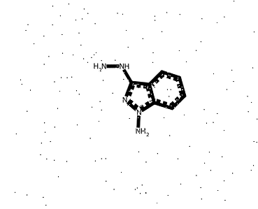 NNc1nn(N)c2ccccc12